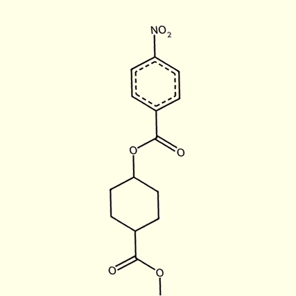 CC(C)(C)OC(=O)C1CCC(OC(=O)c2ccc([N+](=O)[O-])cc2)CC1